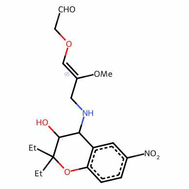 CCC1(CC)Oc2ccc([N+](=O)[O-])cc2C(NC/C(=C/OCC=O)OC)C1O